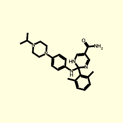 Cc1cccc(C)c1C1(Nc2ccc(N3CCN(C(C)C)CC3)cc2)N=CC(C(N)=O)=CN1